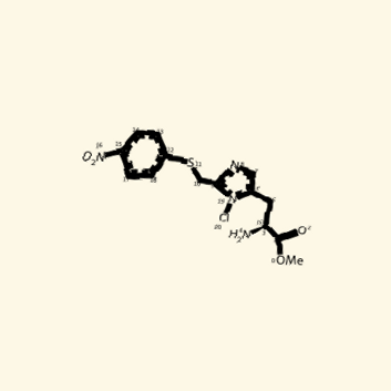 COC(=O)[C@@H](N)Cc1cnc(CSc2ccc([N+](=O)[O-])cc2)n1Cl